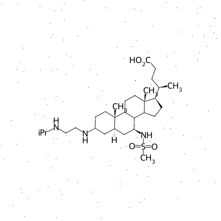 CC(C)NCCNC1CC[C@]2(C)C3CC[C@@]4(C)C(CC[C@@H]4[C@H](C)CCC(=O)O)C3[C@@H](NS(C)(=O)=O)C[C@H]2C1